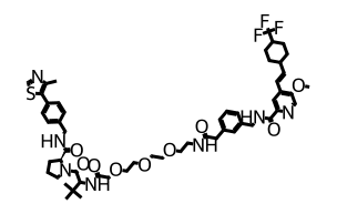 COc1cnc(C(=O)NCc2cccc(CC(=O)NCCOCCOCCOCC(=O)NC(C(=O)N3CCC[C@H]3C(=O)NCc3ccc(-c4scnc4C)cc3)C(C)(C)C)c2)cc1/C=C/C1CCC(C(F)(F)F)CC1